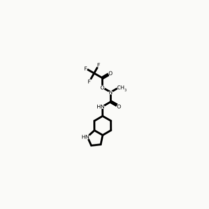 CN(OC(=O)C(F)(F)F)C(=O)NC1CCC2CCNC2C1